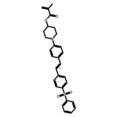 C=C(C)C(=O)OC1CCN(c2ccc(/C=C/c3ccc(S(=O)(=O)c4ccccc4)cc3)cc2)CC1